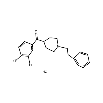 Cl.O=C(c1ccc(Cl)c(Cl)c1)C1CCN(CCc2ccccc2)CC1